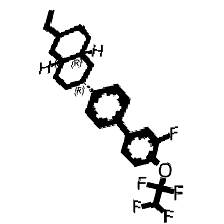 CCC1CC[C@@H]2C[C@H](c3ccc(-c4ccc(OC(F)(F)C(F)F)c(F)c4)cc3)CC[C@@H]2C1